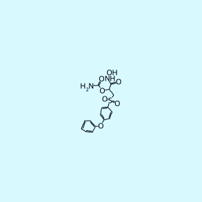 NC(=O)OC(CS(=O)(=O)c1ccc(Oc2ccccc2)cc1)C(=O)NO